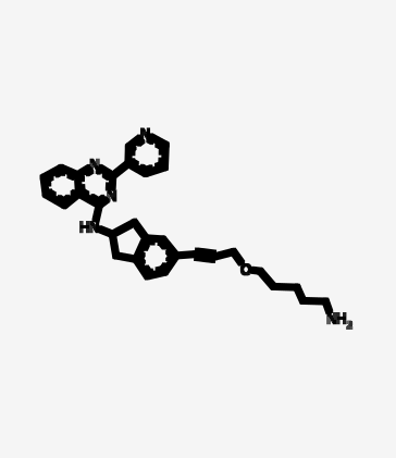 NCCCCCOCC#Cc1ccc2c(c1)CC(Nc1nc(-c3cccnc3)nc3ccccc13)C2